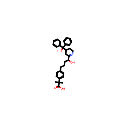 CC(C)(C(=O)O)c1ccc(CCCC(O)C2=NCCC(C(O)(c3ccccc3)c3ccccc3)C2)cc1